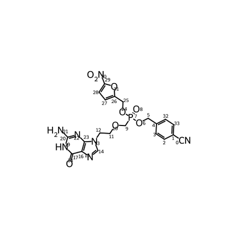 N#Cc1ccc(COP(=O)(COCCn2cnc3c(=O)[nH]c(N)nc32)OCc2ccc([N+](=O)[O-])o2)cc1